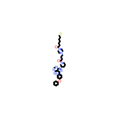 Nc1ncnc2c1c(-c1ccc(Oc3ccccc3)cc1)nn2[C@@H]1CCCN(C(=O)/C=C/CN2CCN(C(=O)CCCCCC[S])CC2)C1